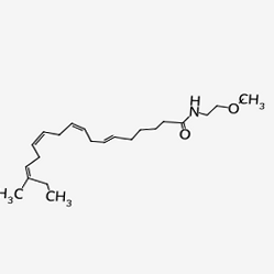 CC/C(C)=C\C/C=C\C/C=C\C/C=C/CCCCC(=O)NCCOC